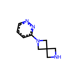 c1cnnc(N2CC3(CNC3)C2)c1